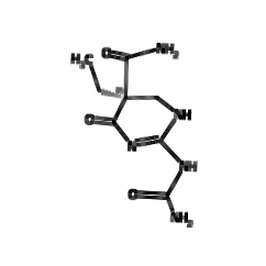 CC[C@]1(C(N)=O)CNC(NC(N)=O)=NC1=O